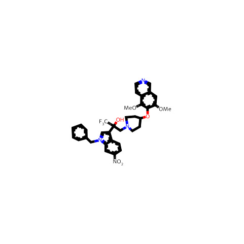 COc1cc2cnccc2c(OC)c1OC1CCN(CC(O)(c2cn(Cc3ccccc3)c3cc([N+](=O)[O-])ccc23)C(F)(F)F)CC1